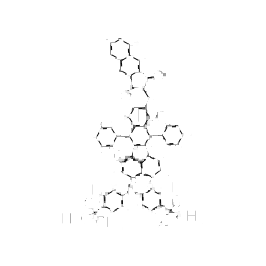 Cc1ccccc1-c1c2c(c(-c3ccccc3C)c3cc(C=C4C(=O)c5cc6ccccc6cc5C4=O)ccc13)-c1cccc3c(N(c4ccc(C(C)(C)C)cc4)c4ccc(C(C)(C)C)cc4)ccc-2c13